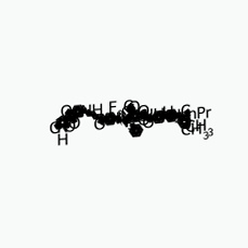 C=C(CCC)C1=C(CN2CCN(c3ccc(C(=O)NS(=O)(=O)c4ccc(N[C@H](CCN5CCN(C(=O)CCCCNc6ccc7c(c6)C(=O)N(C6CCC(=O)NC6=O)C7=O)CC5)CSc5ccccc5)c(S(=O)(=O)C(F)(F)F)c4)cc3)CC2)CCC(C)(C)C1